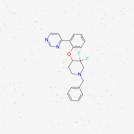 FC1(F)CN(Cc2ccccc2)CCC1Oc1ccccc1-c1ccncn1